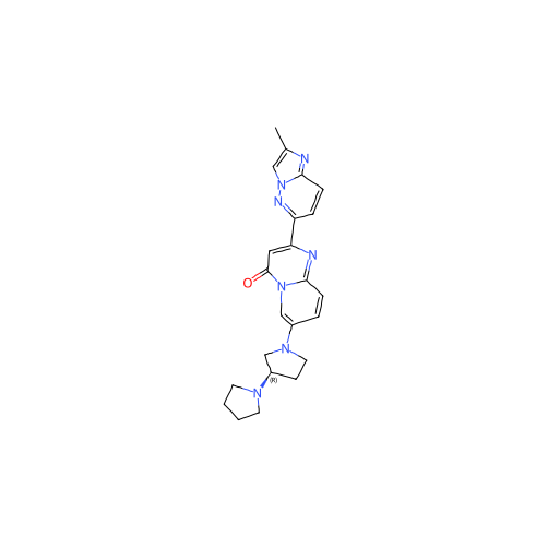 Cc1cn2nc(-c3cc(=O)n4cc(N5CC[C@@H](N6CCCC6)C5)ccc4n3)ccc2n1